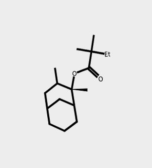 CCC(C)(C)C(=O)O[C@@]1(C)C(C)CC2CCCC1C2